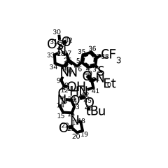 CCN(Sc1cc(-c2nn(CC(O)CN3CCC(N4CCCC4=O)CC3)c3c2CN(S(C)(=O)=O)CC3)ccc1C(F)(F)F)C(=O)CNC(=O)OC(C)(C)C